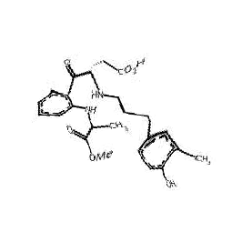 COC(=O)C(C)Nc1ccccc1C(=O)[C@H](CC(=O)O)NCCCc1ccc(O)c(C)c1